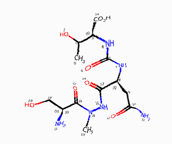 CC(O)[C@H](NC(=O)N[C@@H](CC(N)=O)C(=O)NN(C)C(=O)[C@@H](N)CO)C(=O)O